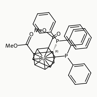 COC(=O)[C]12[CH]3[CH]4[CH]5[C]1(P(c1ccccc1)c1ccccc1)[Ru]43521678[CH]2[CH]1[C]6(C(=O)OC)[C@@]7(P(c1ccccc1)c1ccccc1)[CH]28